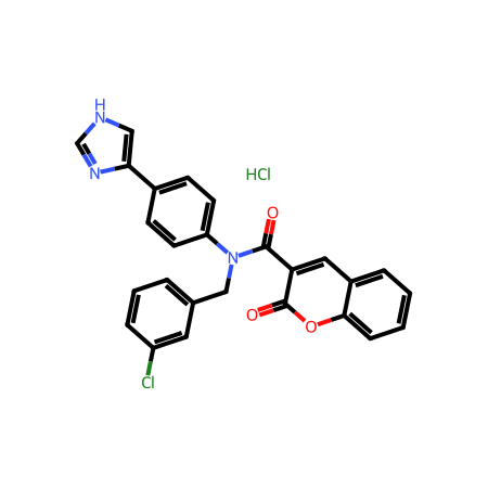 Cl.O=C(c1cc2ccccc2oc1=O)N(Cc1cccc(Cl)c1)c1ccc(-c2c[nH]cn2)cc1